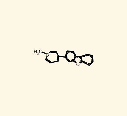 CN1C=CC=C(c2ccc3c(c2)oc2ccccc23)C=C1